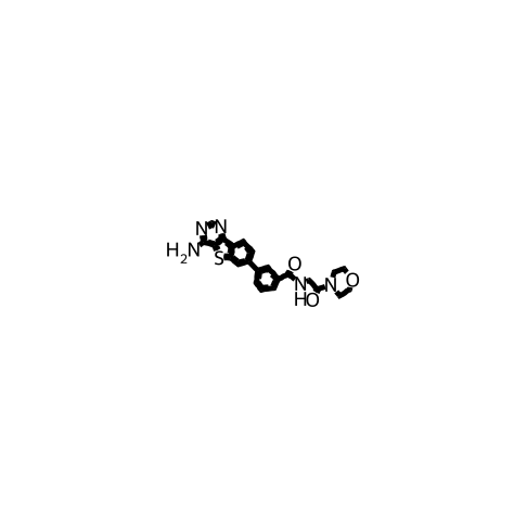 Nc1ncnc2c1sc1cc(-c3cccc(C(=O)NCC(=O)N4CCOCC4)c3)ccc12